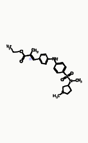 CCOC(=O)/C(C)=C/c1ccc(Nc2ccc(S(=O)(=O)N(C)C3CCN(C)C3)cc2)cc1